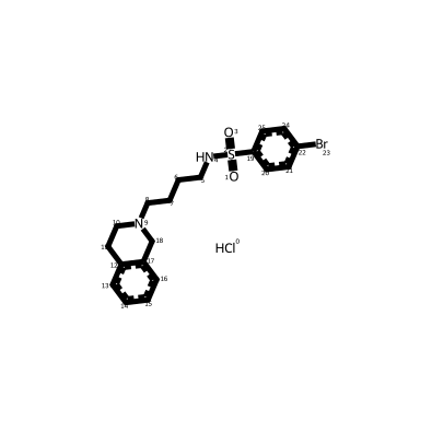 Cl.O=S(=O)(NCCCCN1CCc2ccccc2C1)c1ccc(Br)cc1